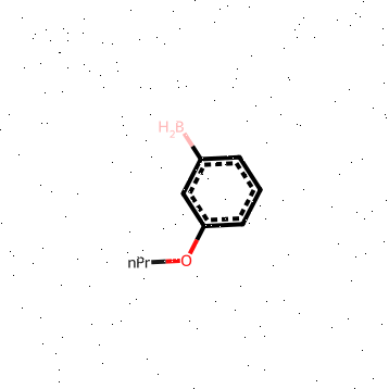 Bc1cccc(OCCC)c1